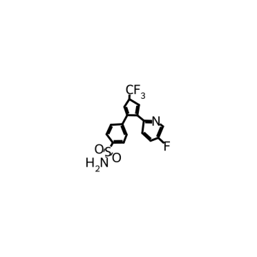 NS(=O)(=O)c1ccc(C2=CC(C(F)(F)F)C=C2c2ccc(F)cn2)cc1